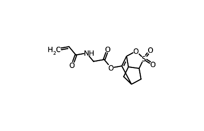 C=CC(=O)NCC(=O)OC1=C2OS(=O)(=O)C3CC1CC23